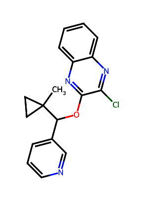 CC1(C(Oc2nc3ccccc3nc2Cl)c2cccnc2)CC1